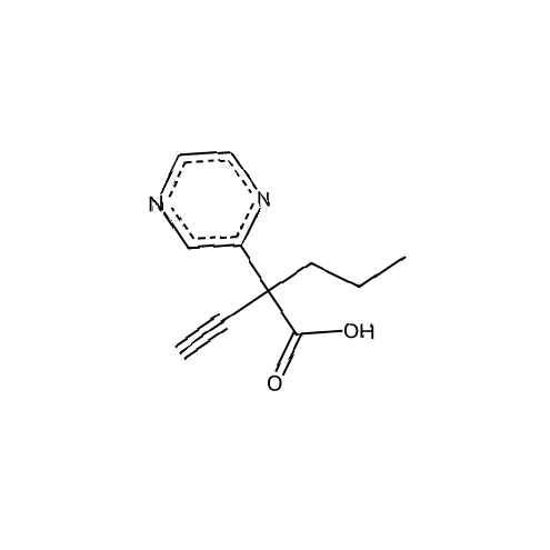 C#CC(CCC)(C(=O)O)c1cnccn1